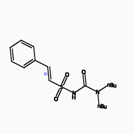 CCCCN(CCCC)C(=O)NS(=O)(=O)/C=C/c1ccccc1